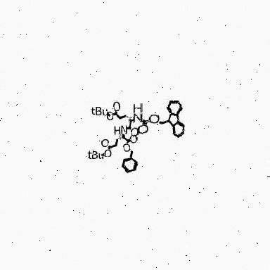 CC(C)(C)OC(=O)CC[C@H](NC(=O)OCC1c2ccccc2-c2ccccc21)C(=O)N[C@@H](CCC(=O)OC(C)(C)C)C(=O)OCc1ccccc1